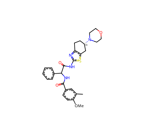 COc1ccc(C(=O)NC(C(=O)Nc2nc3c(s2)C[C@@H](N2CCOCC2)CC3)c2ccccc2)cc1C